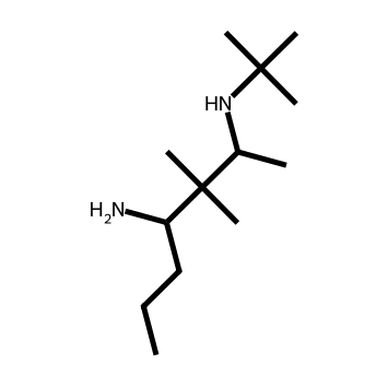 CCCC(N)C(C)(C)C(C)NC(C)(C)C